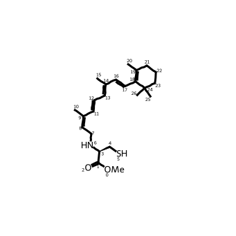 COC(=O)[C@H](CS)NC/C=C(/C)C=CC=C(C)C=CC1=C(C)CCCC1(C)C